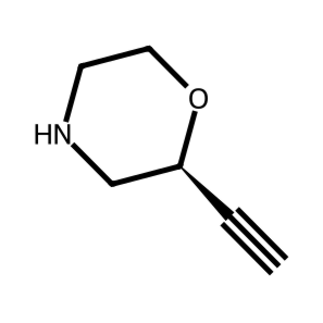 C#C[C@H]1CNCCO1